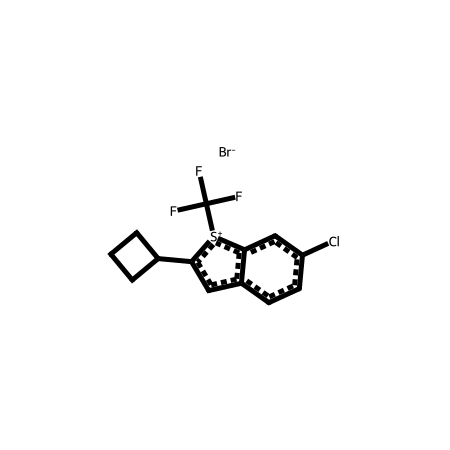 FC(F)(F)[s+]1c(C2CCC2)cc2ccc(Cl)cc21.[Br-]